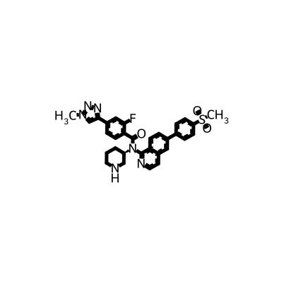 Cn1cc(-c2ccc(C(=O)N(c3nccc4cc(-c5ccc(S(C)(=O)=O)cc5)ccc34)[C@@H]3CCCNC3)c(F)c2)nn1